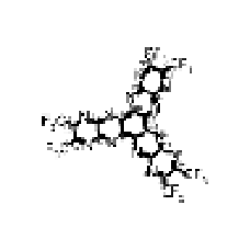 FC(F)(F)c1nc2nc3c4nc5nc(C(F)(F)F)c(C(F)(F)F)nc5nc4c4nc5nc(C(F)(F)F)c(C(F)(F)F)nc5nc4c3nc2nc1C(F)(F)F